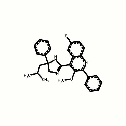 COc1c(-c2ccccc2)nc2ccc(F)cc2c1C1=NCC(CC(C)C)(c2ccccc2)N1